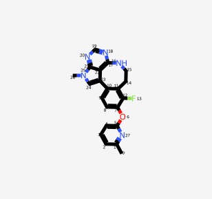 Cc1cccc(Oc2ccc3c(c2F)CCNc2ncnc4c2c-3cn4C)n1